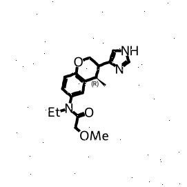 CCN(C(=O)COC)c1ccc2c(c1)[C@H](C)C(c1c[nH]cn1)CO2